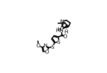 COc1coc(Sc2ccc(C(=O)N[C@@H]3C4CCN(CC4)[C@H]3C)s2)n1